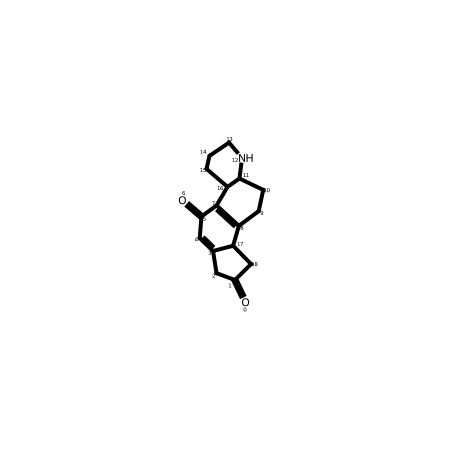 O=C1CC2=CC(=O)C3=C(CCC4NCCCC34)C2C1